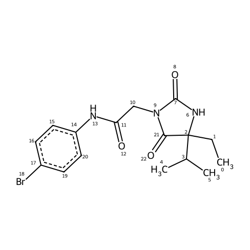 CCC1(C(C)C)NC(=O)N(CC(=O)Nc2ccc(Br)cc2)C1=O